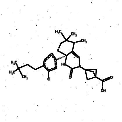 CC1C2=CN(C34CC(C(=O)O)(C3)C4)C(=O)N[C@@]2(c2ccc(CCC(C)(C)C)c(Cl)c2)CCC1(C)C